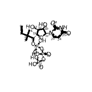 C=CC(C)(C)C(OP(=O)(O)OP(=O)(O)OP(=O)(O)O)[C@H]1O[C@@H](n2ccc(=O)[nH]c2=O)[C@H](O)[C@@H]1O